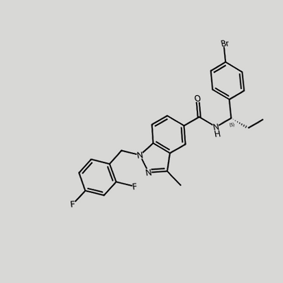 CC[C@H](NC(=O)c1ccc2c(c1)c(C)nn2Cc1ccc(F)cc1F)c1ccc(Br)cc1